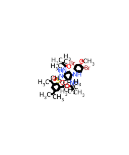 COc1c(Br)cc(Nc2cc(NC(=O)C(C)(C)C)c(NS(=O)(=O)c3c(C(C)C)cc(C(C)C)cc3C(C)C)cc2NC(=O)C(C)(C)C)cc1Br